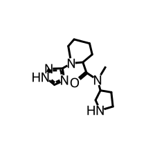 CN(C(=O)C1CCCCN1c1nc[nH]n1)C1CCNC1